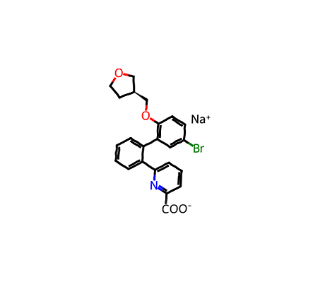 O=C([O-])c1cccc(-c2ccccc2-c2cc(Br)ccc2OC[C@H]2CCOC2)n1.[Na+]